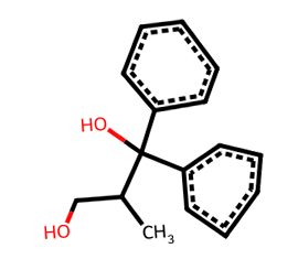 CC(CO)C(O)(c1ccccc1)c1ccccc1